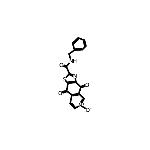 O=C(NCc1ccccc1)c1nc2c(s1)C(=O)c1cc[n+]([O-])cc1C2=O